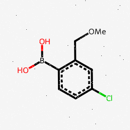 COCc1cc(Cl)ccc1B(O)O